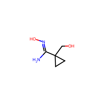 N/C(=N\O)C1(CO)CC1